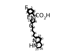 CCc1cc(F)ccc1[C@H](C(=O)O)N1CC(OCCCCc2ccc3c(n2)NCCC3)C1